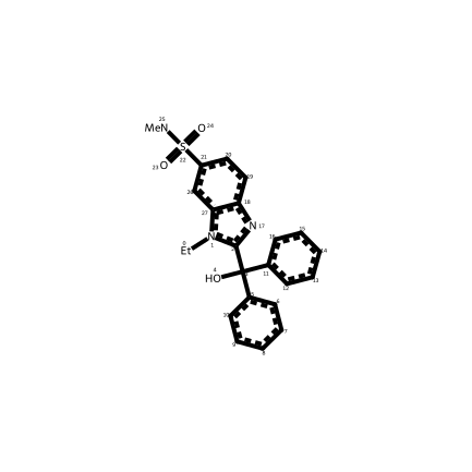 CCn1c(C(O)(c2ccccc2)c2ccccc2)nc2ccc(S(=O)(=O)NC)cc21